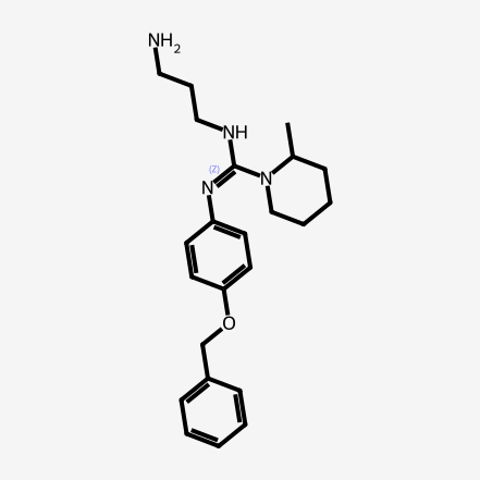 CC1CCCCN1/C(=N\c1ccc(OCc2ccccc2)cc1)NCCCN